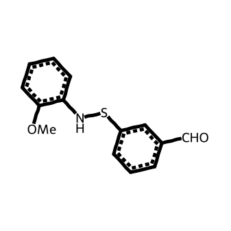 COc1ccccc1NSc1cccc(C=O)c1